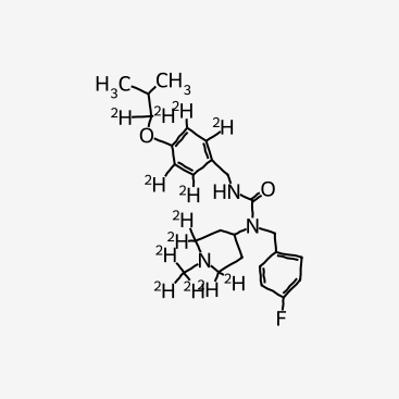 [2H]c1c([2H])c(OC([2H])([2H])C(C)C)c([2H])c([2H])c1CNC(=O)N(Cc1ccc(F)cc1)C1CC([2H])([2H])N(C([2H])([2H])[2H])C([2H])([2H])C1